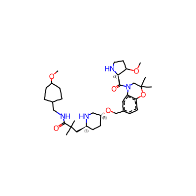 COC1CCC(CNC(=O)C(C)(C)C[C@@H]2CC[C@@H](OCc3ccc4c(c3)N(C(=O)[C@H]3NCCC3OC)CC(C)(C)O4)CN2)CC1